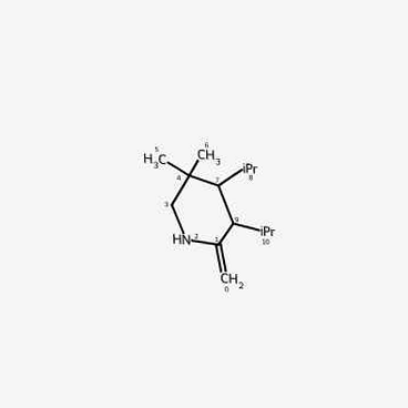 C=C1NCC(C)(C)C(C(C)C)C1C(C)C